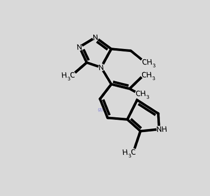 CCc1nnc(C)n1C(/C=C\c1cc[nH]c1C)=C(C)C